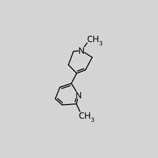 Cc1cccc(C2=CCN(C)CC2)n1